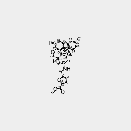 COC(=O)c1ccc(CN[C@@H]2CC[C@@]3(S(=O)(=O)c4ccc(Cl)cc4)c4c(F)ccc(F)c4OC[C@H]3C2)o1